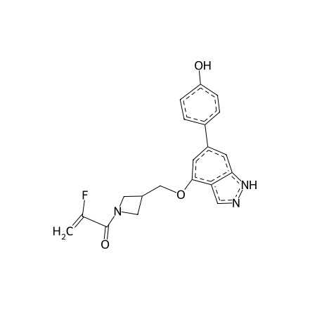 C=C(F)C(=O)N1CC(COc2cc(-c3ccc(O)cc3)cc3[nH]ncc23)C1